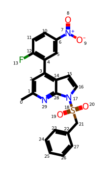 Cc1cc(-c2cc([N+](=O)[O-])ccc2F)c2ccn(S(=O)(=O)Cc3ccccc3)c2n1